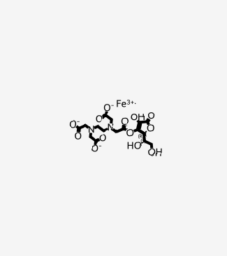 O=C([O-])CN(CCN(CC(=O)[O-])CC(=O)OC1=C(O)C(=O)O[C@@H]1[C@@H](O)CO)CC(=O)[O-].[Fe+3]